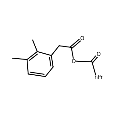 CCCC(=O)OC(=O)Cc1cccc(C)c1C